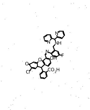 O=C1C=C2Oc3c(ccc(O)c3/C=N\c3ccc(F)cc3CNC(c3ccccn3)c3ccccn3)C(c3ccccc3C(=O)O)C2C=C1Cl